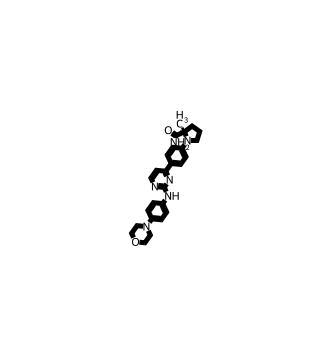 C[C@@]1(C(N)=O)CCCN1c1ccc(-c2ccnc(Nc3ccc(N4CCOCC4)cc3)n2)cc1